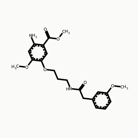 COC(=O)c1cc(OCCCNC(=O)Cc2cccc(OC)c2)c(OC)cc1N